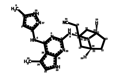 Cc1cc(Nc2nc(N[C@@H]3C[C@H]4CC[C@@H](C3)N4CCC#N)nc3[nH]cc(C)c23)n[nH]1